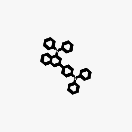 c1ccc(N(c2ccccc2)c2ccc(-c3cc(N(c4ccccc4)c4ccccc4)c4ccccc4c3)cc2)cc1